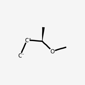 [CH2-][CH+][C@@H](C)OC